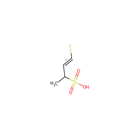 CC(/C=C/F)S(=O)(=O)O